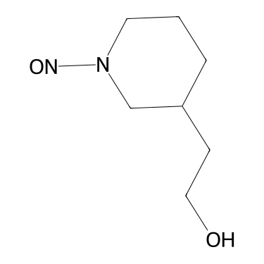 O=NN1CCCC(CCO)C1